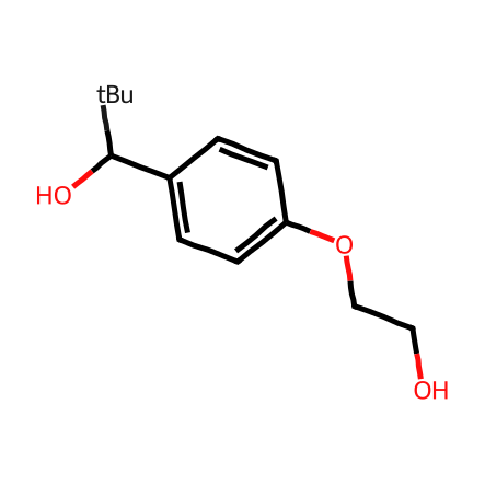 CC(C)(C)C(O)c1ccc(OCCO)cc1